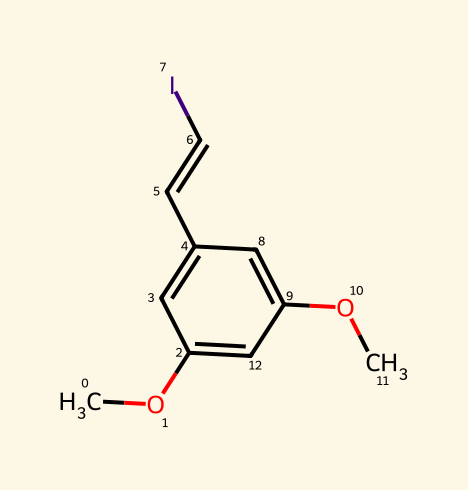 COc1cc(C=CI)cc(OC)c1